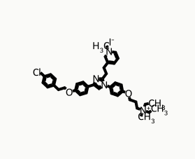 CC[N+](C)(CC)CCCOc1ccc(-n2cc(-c3ccc(OCCc4ccc(Cl)cc4)cc3)nc2CCC2=CC=CN(C)C2)cc1.[I-]